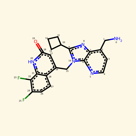 NCc1ccnc2c1nc(C1CCC1)n2Cc1cc(=O)[nH]c2c(F)c(F)ccc12